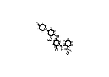 COc1cc(N2CCC(=O)CC2)ccc1Nc1ncc(Cl)c(Nc2ccccc2P(C)(C)=O)n1